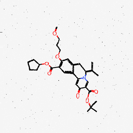 COCCCOc1cc2c(cc1C(=O)OC1CCCC1)-c1cc(=O)c(C(=O)OC(C)(C)C)cn1C(C(C)C)C2